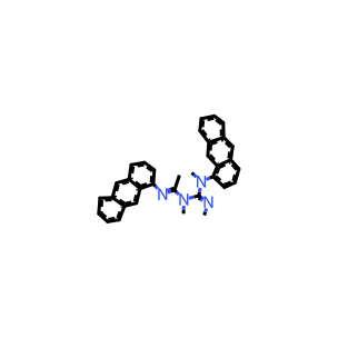 C/N=C(\N(C)/C(C)=N/c1cccc2cc3ccccc3cc12)N(C)c1cccc2cc3ccccc3cc12